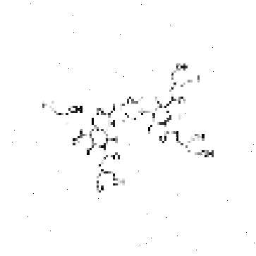 CC(=O)N(CC(O)CN(C(C)=O)c1c(I)c(C(=O)CCC(O)CO)c(I)c(C(=O)CC(CO)CO)c1I)c1c(I)c(C(=O)CCC(O)CO)c(I)c(C(=O)CC(CO)CO)c1I